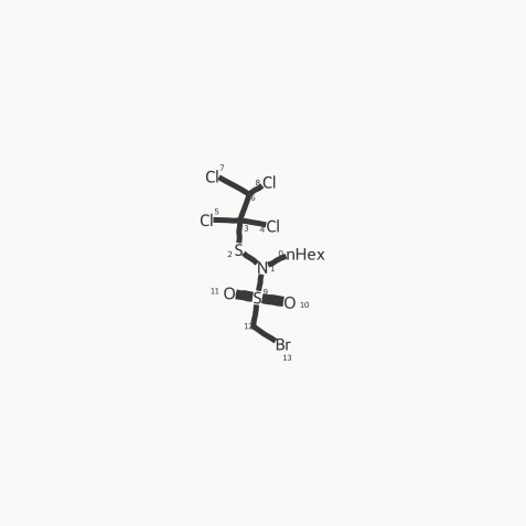 CCCCCCN(SC(Cl)(Cl)C(Cl)Cl)S(=O)(=O)CBr